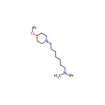 CC(C)OC1CCN(CCCCCCCN(C)C(C)C)CC1